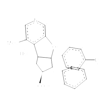 COc1cncc2c1[C@]1(O)C[C@H](C(=O)O)[C@@H](c3ccccc3)[C@]1(c1ccc(Br)cc1)O2